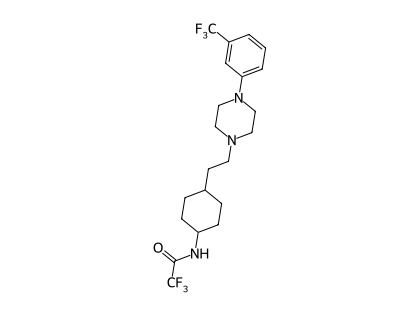 O=C(NC1CCC(CCN2CCN(c3cccc(C(F)(F)F)c3)CC2)CC1)C(F)(F)F